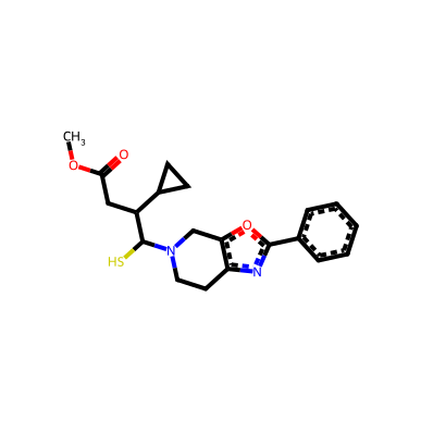 COC(=O)CC(C1CC1)C(S)N1CCc2nc(-c3ccccc3)oc2C1